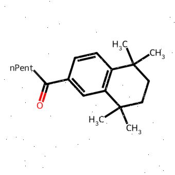 CCCCCC(=O)c1ccc2c(c1)C(C)(C)CCC2(C)C